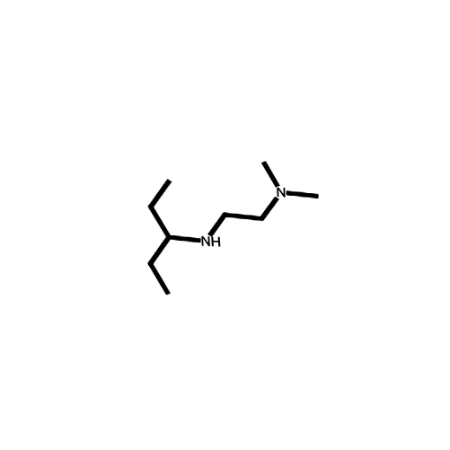 CCC(CC)NCCN(C)C